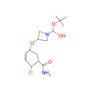 CC(C)(C)OC(O)N1CC(OC2C=CC(Cl)C(C(N)=O)C2)C1